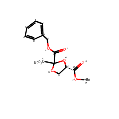 CCOC(=O)C1(C(=O)OCc2ccccc2)OC[C@@H](C(=O)OC(C)(C)C)O1